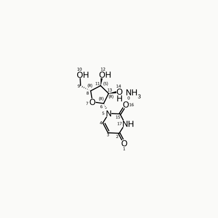 N.O=c1ccn([C@@H]2O[C@H](CO)[C@@H](O)[C@H]2O)c(=O)[nH]1